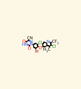 Cc1c(Cl)c(C(F)(F)F)nc2ccc(Oc3c(Cl)cc(-n4nc(C#N)c(=O)[nH]c4=O)cc3Br)cc12